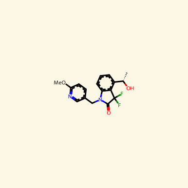 COc1ccc(CN2C(=O)C(F)(F)c3c([C@H](C)O)cccc32)cn1